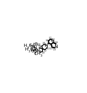 CC(C)(C)[Si](C)(C)N=S(C)(=O)N1CCC2(CCN(c3ccnc4cnccc34)CC2)C1